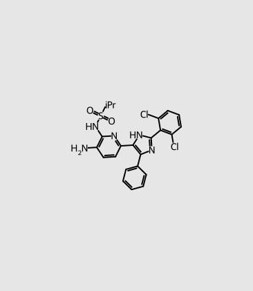 CC(C)S(=O)(=O)Nc1nc(-c2[nH]c(-c3c(Cl)cccc3Cl)nc2-c2ccccc2)ccc1N